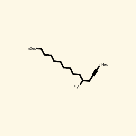 [CH2]CCCCCC#CCC(C)CCCCCCCCCCCCCCCCCC[CH2]